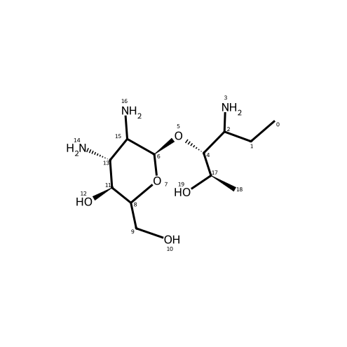 CCC(N)[C@@H](O[C@H]1OC(CO)[C@@H](O)[C@H](N)C1N)[C@@H](C)O